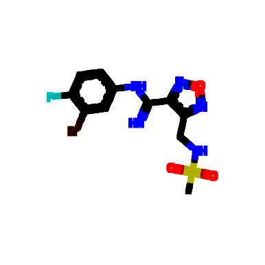 CS(=O)(=O)NCc1nonc1C(=N)Nc1ccc(F)c(Br)c1